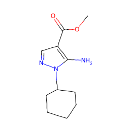 COC(=O)c1cnn(C2CCCCC2)c1N